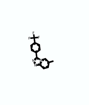 Cc1ccc2nnc(-c3ccc(C(F)(F)F)cc3)n2c1